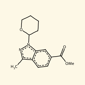 COC(=O)c1ccc2c(C)nn(C3CCCCO3)c2c1